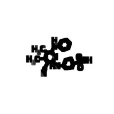 Cc1c(Nc2ccccc2)nc(Nc2ccc(S(=O)(=O)O)cc2)c(C#N)c1C